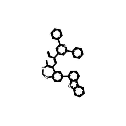 C=C/C(=C\C1=C(C)OCOc2ccc(-c3cccc4c3oc3ccccc34)cc21)c1cc(-c2ccccc2)nc(-c2ccccc2)c1